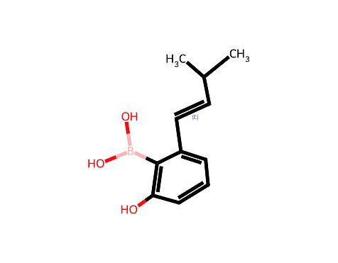 CC(C)/C=C/c1cccc(O)c1B(O)O